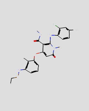 CCSNc1cccc(Oc2cc(=O)n(C)c(Nc3ccc(C)cc3F)c2C(=O)NC)c1C